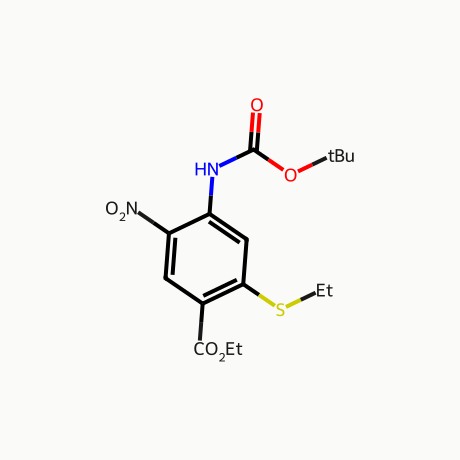 CCOC(=O)c1cc([N+](=O)[O-])c(NC(=O)OC(C)(C)C)cc1SCC